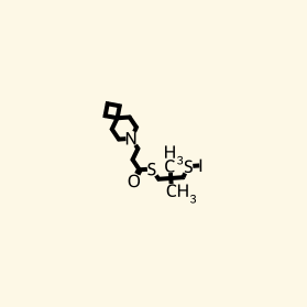 CC(C)(CSI)CSC(=O)CCN1CCC2(CCC2)CC1